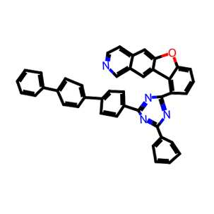 c1ccc(-c2ccc(-c3ccc(-c4nc(-c5ccccc5)nc(-c5cccc6oc7cc8ccncc8cc7c56)n4)cc3)cc2)cc1